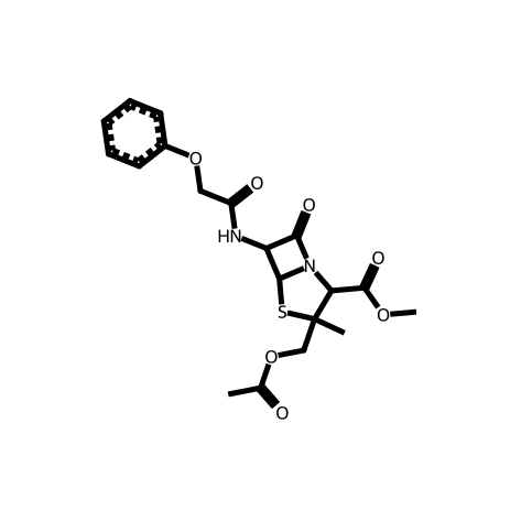 COC(=O)C1N2C(=O)C(NC(=O)COc3ccccc3)C2SC1(C)COC(C)=O